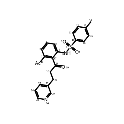 CC(=O)c1cccc(NS(=O)(=O)c2ccc(C)cc2)c1C(=O)CCc1cccnc1